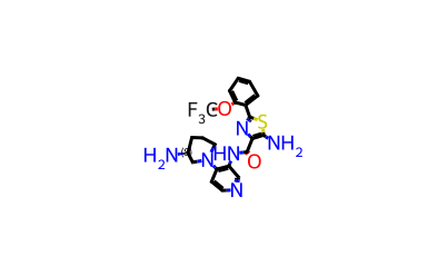 Nc1sc(-c2ccccc2OC(F)(F)F)nc1C(=O)Nc1cnccc1N1CCC[C@H](N)C1